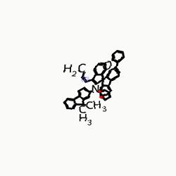 C=C/C=C\C1=C(N(c2ccccc2)c2ccc3c(c2)C(C)(C)c2ccccc2-3)C2(c3ccccc31)c1ccccc1-c1ccc3c(oc4ccccc43)c12